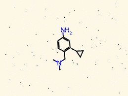 CN(C)Cc1ccc(N)cc1C1CC1